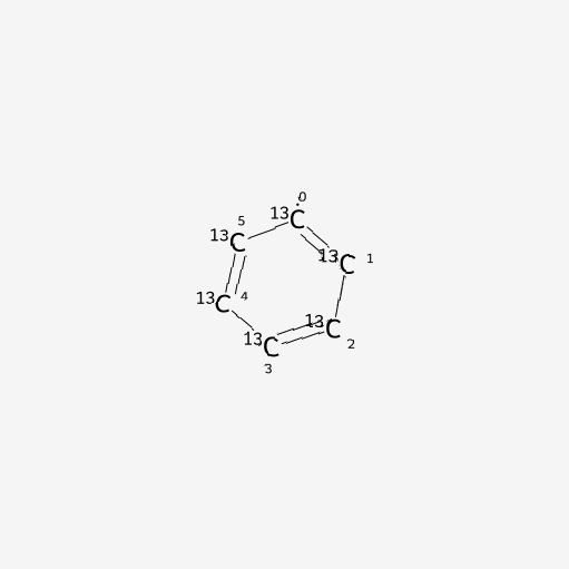 [13c]1[13cH][13cH][13cH][13cH][13cH]1